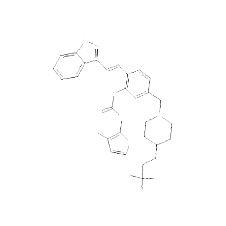 Cc1ccsc1OC(=O)Nc1cc(CN2CCC(CCC(C)(C)O)CC2)ccc1/C=C/c1n[nH]c2ccccc12